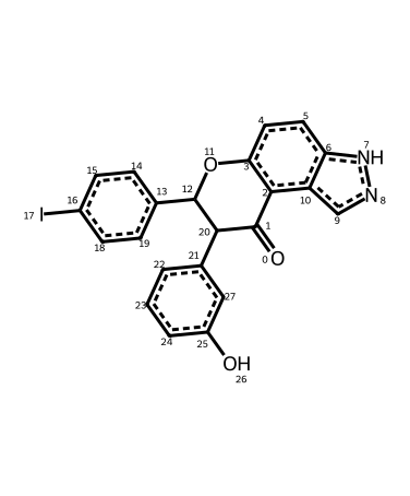 O=C1c2c(ccc3[nH]ncc23)OC(c2ccc(I)cc2)C1c1cccc(O)c1